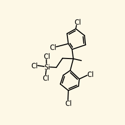 CC(CC[Si](Cl)(Cl)Cl)(c1ccc(Cl)cc1Cl)c1ccc(Cl)cc1Cl